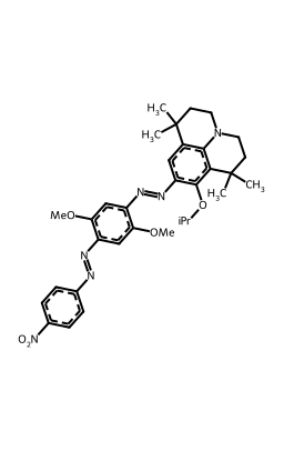 COc1cc(N=Nc2cc3c4c(c2OC(C)C)C(C)(C)CCN4CCC3(C)C)c(OC)cc1N=Nc1ccc([N+](=O)[O-])cc1